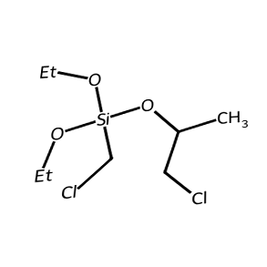 CCO[Si](CCl)(OCC)OC(C)CCl